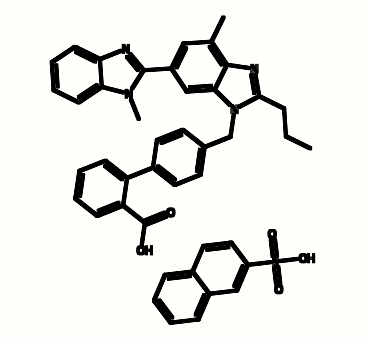 CCCc1nc2c(C)cc(-c3nc4ccccc4n3C)cc2n1Cc1ccc(-c2ccccc2C(=O)O)cc1.O=S(=O)(O)c1ccc2ccccc2c1